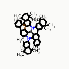 Cc1cc2c(cc1N1c3ccc4c(sc5ccccc54)c3B3c4c(cc5ccccc5c41)-c1cc4c(cc1N3c1ccc3c(c1)C(C)(C)CCC3(C)C)C(C)(C)CCC4(C)C)C(C)(C)CCC2(C)C